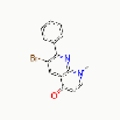 Cn1ccc(=O)c2cc(Br)c(-c3ccccc3)nc21